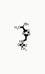 C[C@H](c1nc(CNS(C)(=O)=O)no1)C(C)(C)C